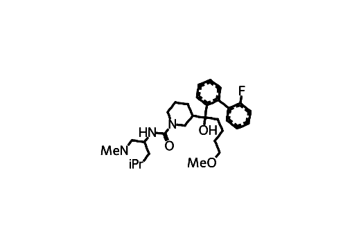 CNCC(CC(C)C)NC(=O)N1CCCC(C(O)(CCCCOC)c2ccccc2-c2ccccc2F)C1